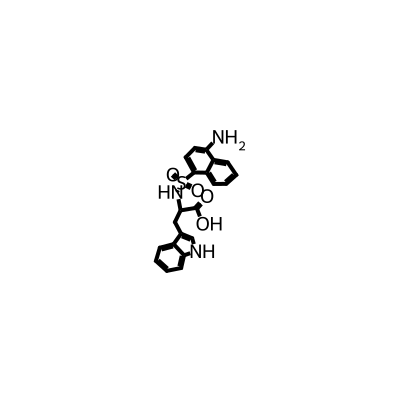 Nc1ccc(S(=O)(=O)NC(Cc2c[nH]c3ccccc23)C(=O)O)c2ccccc12